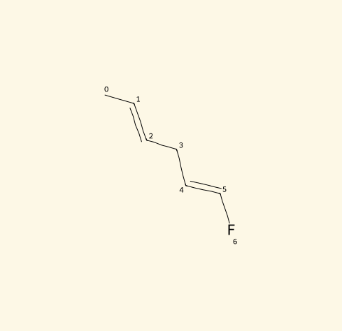 CC=CCC=CF